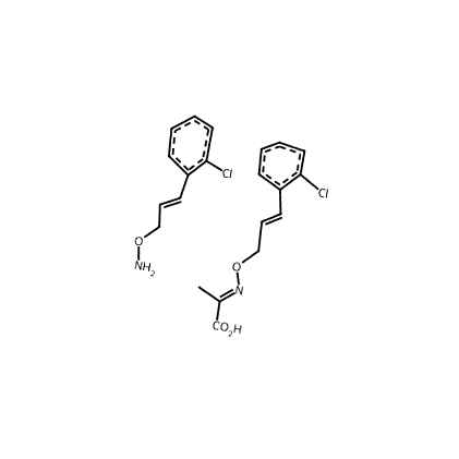 CC(=NOCC=Cc1ccccc1Cl)C(=O)O.NOCC=Cc1ccccc1Cl